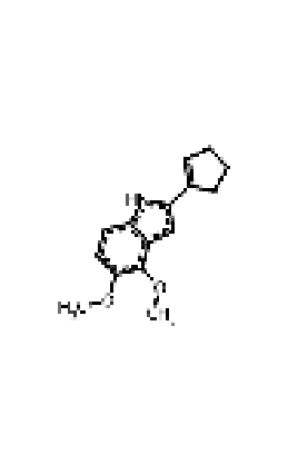 COc1ccc2[nH]c(C3=CCCC3)cc2c1OC